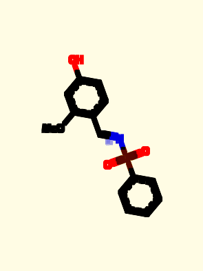 COc1cc(O)ccc1/C=N/S(=O)(=O)c1ccccc1